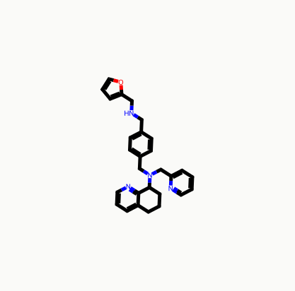 c1ccc(CN(Cc2ccc(CNCc3ccco3)cc2)C2CCCc3cccnc32)nc1